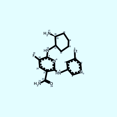 CCc1cncc(Nc2nc(NC3CCCC[C@@H]3N)c(F)cc2C(N)=O)c1